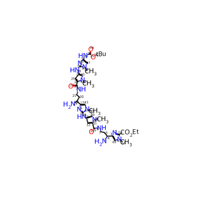 CCOC(=O)c1nc(C(N)CCNC(=O)c2cc(Nc3nc(C(N)CCNC(=O)c4cc(Nc5nc(NC(=O)OC(C)(C)C)cn5C)cn4C)cn3C)cn2C)cn1C